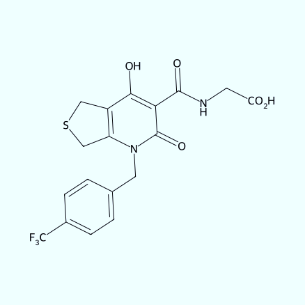 O=C(O)CNC(=O)c1c(O)c2c(n(Cc3ccc(C(F)(F)F)cc3)c1=O)CSC2